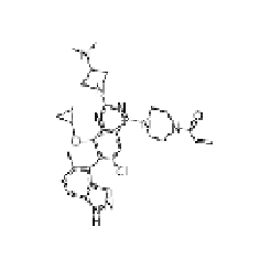 C=CC(=O)N1CCN(c2nc(N3CC(N(C)C)C3)nc3c(OC4CC4)c(-c4c(C)ccc5[nH]ncc45)c(Cl)cc23)CC1